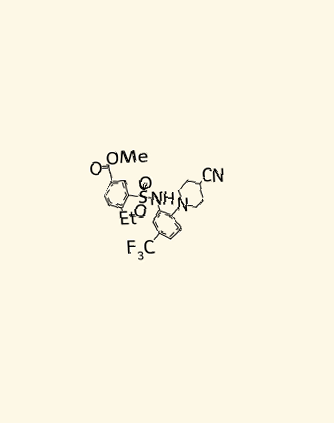 CCc1ccc(C(=O)OC)cc1S(=O)(=O)Nc1cc(C(F)(F)F)ccc1N1CCC(C#N)CC1